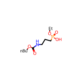 CCCCOC(=O)NCCCP(=O)(O)OCC